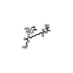 C=CC(=O)O.C=CC(=O)O.CC(OC(=O)NCCCCCCNC(=O)OCCO)C(C)(C)O